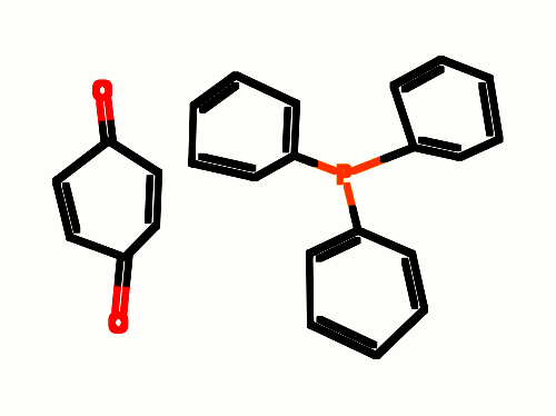 O=C1C=CC(=O)C=C1.c1ccc(P(c2ccccc2)c2ccccc2)cc1